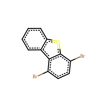 Brc1ccc(Br)c2c1sc1ccccc12